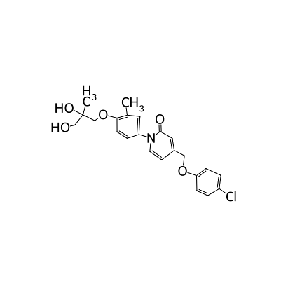 Cc1cc(-n2ccc(COc3ccc(Cl)cc3)cc2=O)ccc1OCC(C)(O)CO